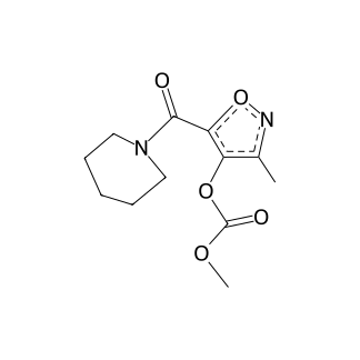 COC(=O)Oc1c(C)noc1C(=O)N1CCCCC1